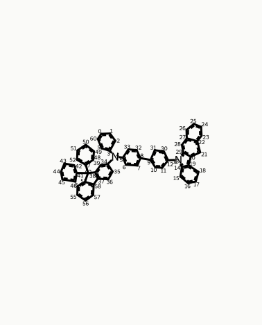 c1ccc(N(c2ccc(-c3ccc(-n4c5ccccc5c5cc6ccccc6cc54)cc3)cc2)c2ccc3c(c2)C(c2ccccc2)(c2ccccc2)c2ccccc2-3)cc1